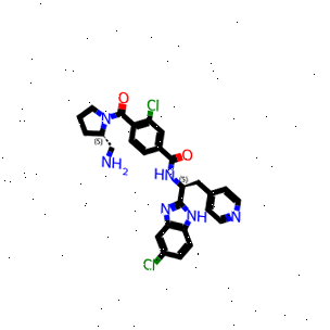 NC[C@@H]1CCCN1C(=O)c1ccc(C(=O)N[C@@H](Cc2ccncc2)c2nc3cc(Cl)ccc3[nH]2)cc1Cl